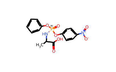 CC(N[P@@](=O)(Oc1ccccc1)Oc1ccc([N+](=O)[O-])cc1)C(=O)O